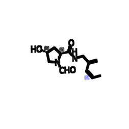 C=C(/C=C\C)CNC(=O)[C@@H]1C[C@@H](O)CN1C=O